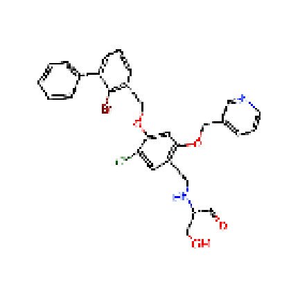 O=CC(CO)NCc1cc(Cl)c(OCc2cccc(-c3ccccc3)c2Br)cc1OCc1cccnc1